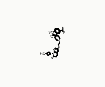 O=C1CCc2cc(OCCN3CCC4(CC3)C(=O)Nc3ccc(C(F)F)cc34)cnc2N1[C@H]1C[C@@H](O)C1